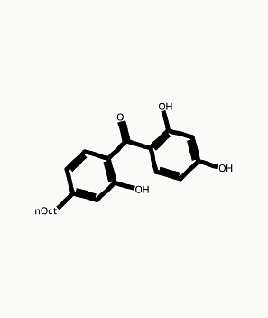 CCCCCCCCc1ccc(C(=O)c2ccc(O)cc2O)c(O)c1